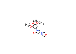 COc1cc(N2CC(N3CCOCC3)=CC2=O)cc(OC)c1OC